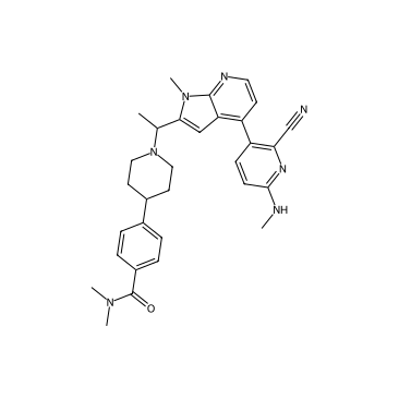 CNc1ccc(-c2ccnc3c2cc(C(C)N2CCC(c4ccc(C(=O)N(C)C)cc4)CC2)n3C)c(C#N)n1